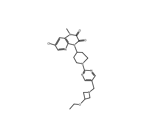 CCOC1CN(Cc2cnc(N3CCC(n4c(=O)c(=O)n(C)c5cc(Cl)cnc54)CC3)nc2)C1